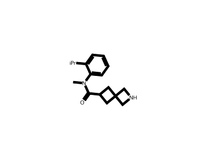 CC(C)c1ccccc1N(C)C(=O)C1CC2(CNC2)C1